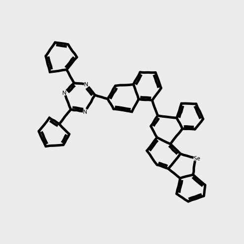 c1ccc(-c2nc(-c3ccccc3)nc(-c3ccc4c(-c5cc6ccc7c8ccccc8[se]c7c6c6ccccc56)cccc4c3)n2)cc1